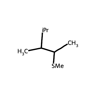 CSC(C)C(C)C(C)C